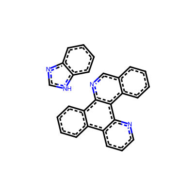 c1ccc2[nH]cnc2c1.c1ccc2c(c1)cnc1c3ccccc3c3cccnc3c21